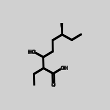 CCC(C(=O)O)C(O)CC[C@@H](C)CC